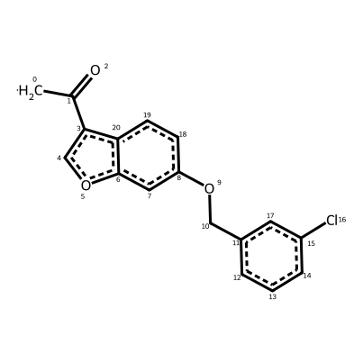 [CH2]C(=O)c1coc2cc(OCc3cccc(Cl)c3)ccc12